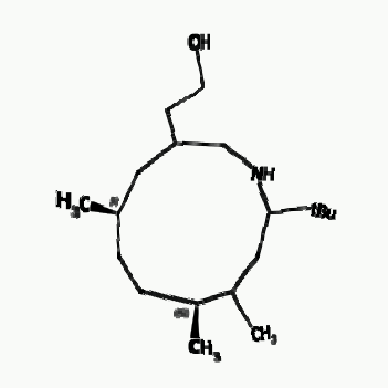 CC1CC(C(C)(C)C)NCC(CCO)C[C@H](C)CC[C@@H]1C